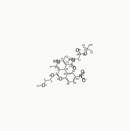 COCCOC(=O)C1=C(C)NC(C)=C(C(=O)NCC(=O)OC(C)(C)C)C1c1cccc([N+](=O)[O-])c1